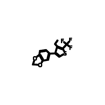 CCc1c(-c2ccc3c(c2)OCO3)csc1C(F)(F)F